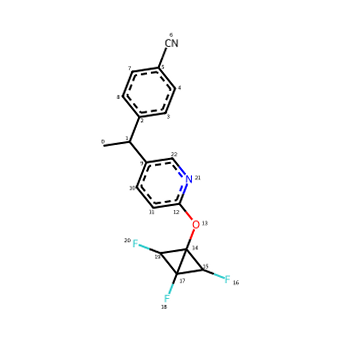 CC(c1ccc(C#N)cc1)c1ccc(OC23C(F)C2(F)C3F)nc1